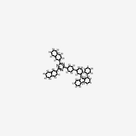 c1ccc(-c2cccc3c4ccccc4n(-c4cccc(-c5ccc(-c6nc(-c7ccc8ccccc8c7)nc(-c7ccc8ccccc8c7)n6)cc5)c4)c23)cc1